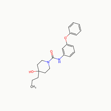 CCCC1(O)CCN(C(=O)Nc2cccc(Oc3ccccc3)c2)CC1